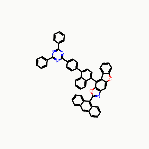 c1ccc(-c2nc(-c3ccccc3)nc(-c3ccc(-c4ccc(-c5c6oc(-c7c8ccccc8cc8ccccc78)nc6cc6oc7ccccc7c56)c5ccccc45)cc3)n2)cc1